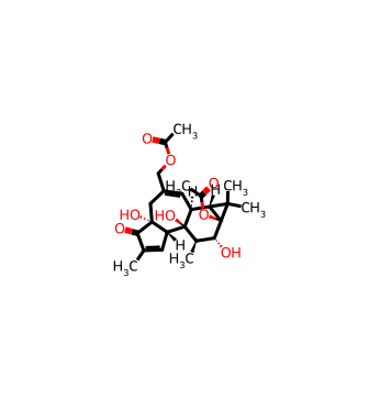 CC(=O)OCC1=C[C@H]2[C@@H]3C(C)(C)[C@]3(OC(C)=O)[C@H](O)[C@@H](C)[C@]2(O)[C@@H]2C=C(C)C(=O)[C@@]2(O)C1